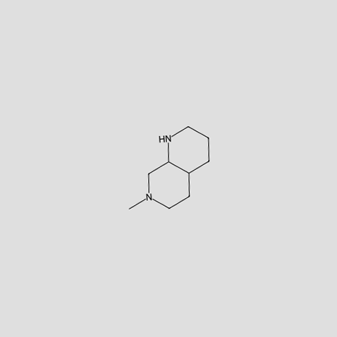 CN1CCC2CCCNC2C1